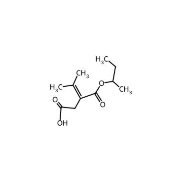 CCC(C)OC(=O)C(CC(=O)O)=C(C)C